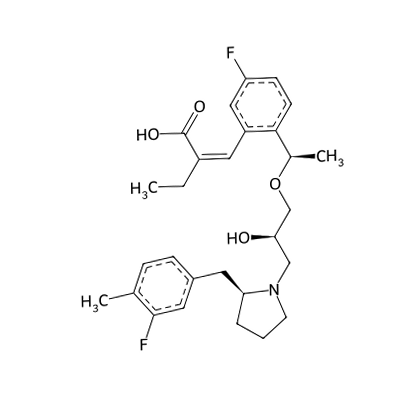 CCC(=Cc1cc(F)ccc1[C@@H](C)OC[C@H](O)CN1CCC[C@H]1Cc1ccc(C)c(F)c1)C(=O)O